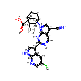 N#Cc1cn([C@@H]2C3CCC(CC3)[C@H]2C(=O)O)c2nc(-c3c[nH]c4ncc(Cl)cc34)ncc12